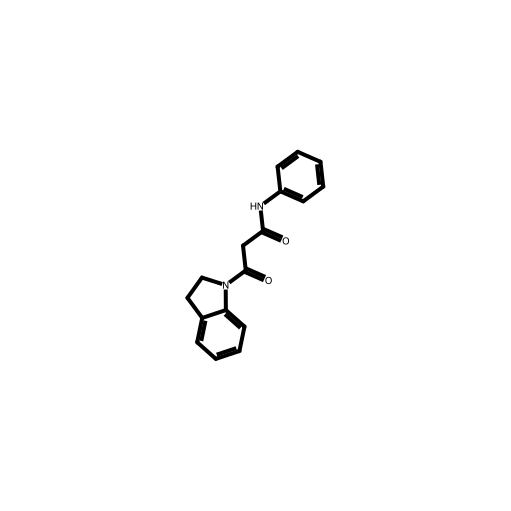 O=C(CC(=O)N1CCc2ccccc21)Nc1ccccc1